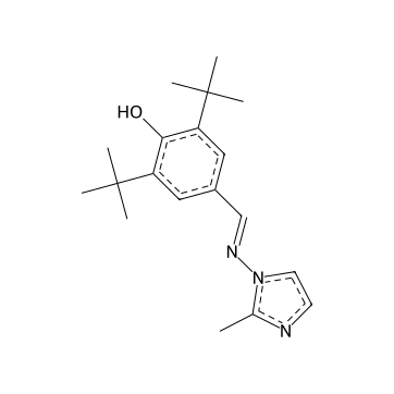 Cc1nccn1N=Cc1cc(C(C)(C)C)c(O)c(C(C)(C)C)c1